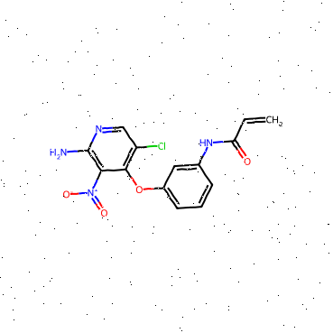 C=CC(=O)Nc1cccc(Oc2c(Cl)cnc(N)c2[N+](=O)[O-])c1